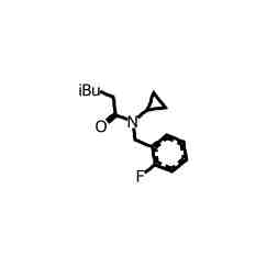 CCC(C)CC(=O)N(Cc1ccccc1F)C1CC1